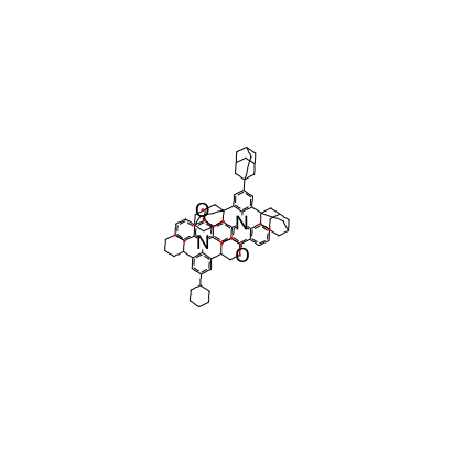 O=c1c2ccccc2n(-c2c(C3CCCCC3)cc(C3CCCCC3)cc2C2CCCCC2)c2cc3c(=O)c4ccccc4n(-c4c(C56CC7CC(CC(C7)C5)C6)cc(C56CC7CC(CC(C7)C5)C6)cc4C45CC6CC(CC(C6)C4)C5)c3cc12